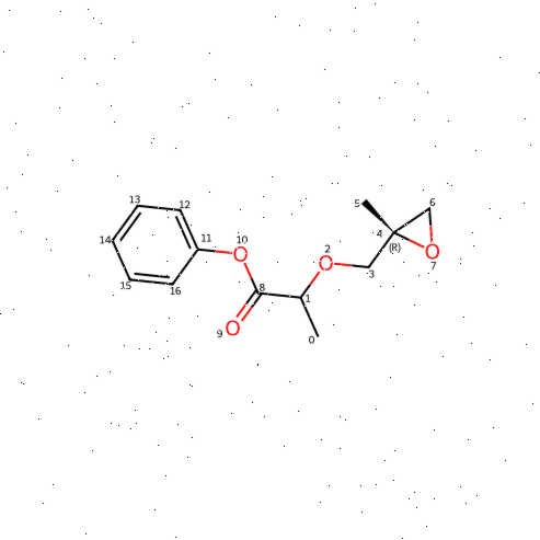 CC(OC[C@]1(C)CO1)C(=O)Oc1ccccc1